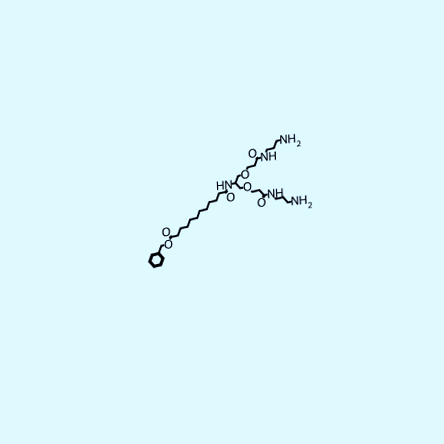 NCCCNC(=O)CCOCC(COCCC(=O)NCCCN)NC(=O)CCCCCCCCCCC(=O)OCc1ccccc1